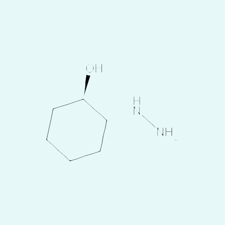 NN[C@@H]1CCCC[C@H]1O